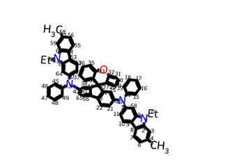 CCn1c2cc(C)ccc2c2ccc(N(c3ccccc3)c3ccc4c(c3)C3(c5ccccc5Oc5ccccc53)c3cc(N(c5ccccc5)c5ccc6c7ccc(C)cc7n(CC)c6c5)ccc3-4)cc21